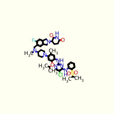 Cc1cc(Nc2ncc(Cl)c(Nc3ccccc3S(=O)(=O)C(C)C)n2)c(OC(C)C)cc1N1CCC(N(C)Cc2cc3c(cc2F)CN(C2CCC(=O)NC2=O)C3)CC1